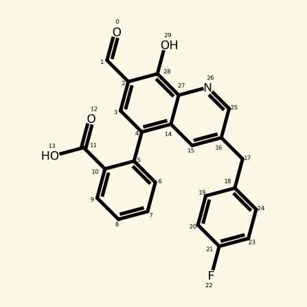 O=Cc1cc(-c2ccccc2C(=O)O)c2cc(Cc3ccc(F)cc3)cnc2c1O